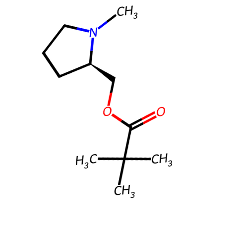 CN1CCC[C@@H]1COC(=O)C(C)(C)C